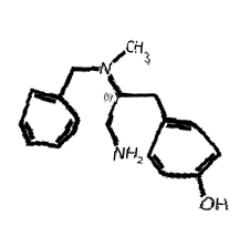 CN(Cc1ccccc1)[C@H](CN)Cc1ccc(O)cc1